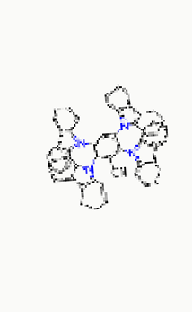 N#Cc1c(-n2c3c(c4ccccc42)CCC=C3)c(-n2c3ccccc3c3ccccc32)cc(-n2c3c(c4ccccc42)CCC=C3)c1-n1c2ccccc2c2ccccc21